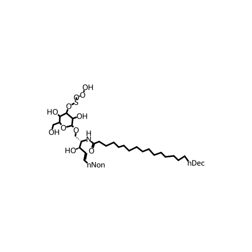 CCCCCCCCC/C=C/[C@@H](O)[C@H](COC1OC(CO)C(O)C(OSOOO)C1O)NC(=O)CCCCCCCCCCCCCCCCCCCCCCCCC